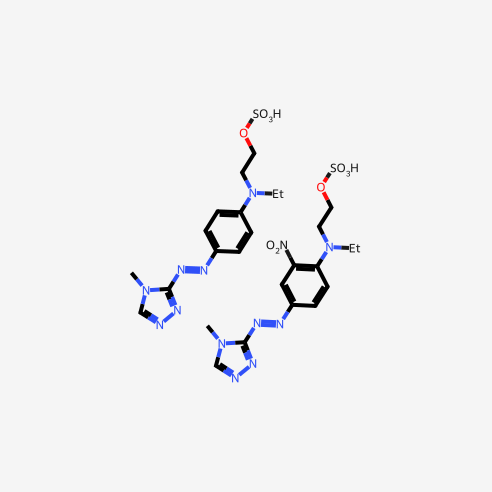 CCN(CCOS(=O)(=O)O)c1ccc(N=Nc2nncn2C)cc1.CCN(CCOS(=O)(=O)O)c1ccc(N=Nc2nncn2C)cc1[N+](=O)[O-]